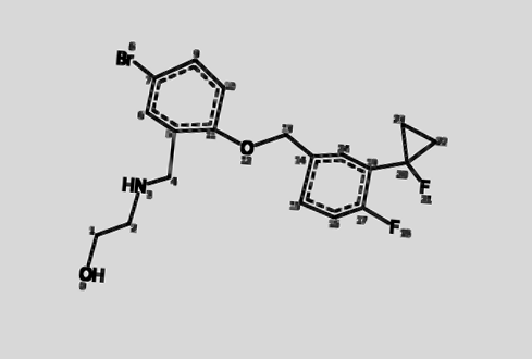 OCCNCc1cc(Br)ccc1OCc1ccc(F)c(C2(F)CC2)c1